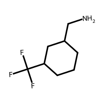 NCC1CCCC(C(F)(F)F)C1